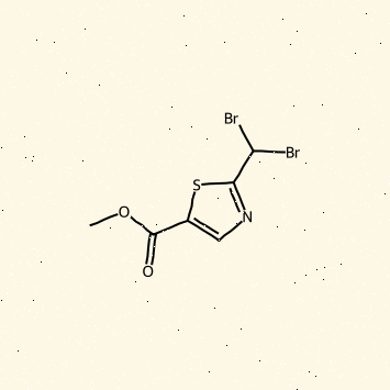 COC(=O)c1cnc(C(Br)Br)s1